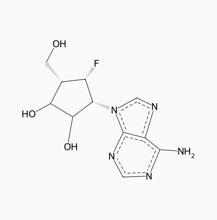 Nc1ncnc2c1ncn2[C@@H]1C(O)C(O)[C@H](CO)[C@@H]1F